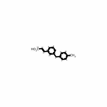 Cc1ccc(Cc2cccc(/C=C/C(=O)O)c2)cc1